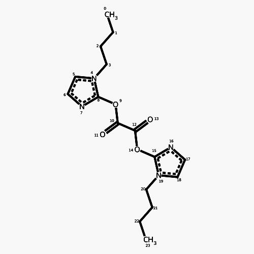 CCCCn1ccnc1OC(=O)C(=O)Oc1nccn1CCCC